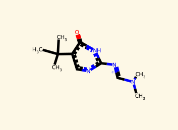 CN(C)/C=N/c1ncc(C(C)(C)C)c(=O)[nH]1